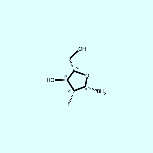 B[C@H]1O[C@@H](CO)[C@H](O)[C@H]1F